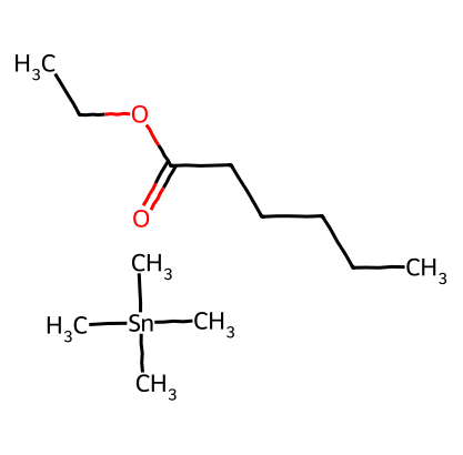 CCCCCC(=O)OCC.[CH3][Sn]([CH3])([CH3])[CH3]